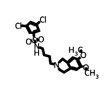 COc1cc2c(cc1OC)CN(CCCCNS(=O)(=O)c1cc(Cl)cc(Cl)c1)CC2